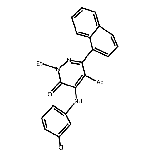 CCn1nc(-c2cccc3ccccc23)c(C(C)=O)c(Nc2cccc(Cl)c2)c1=O